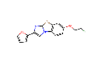 FCCOc1ccc2c(c1)sc1nc(-c3ccco3)cn12